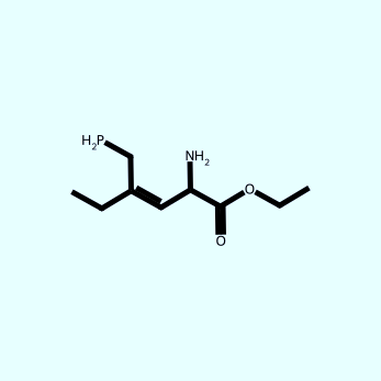 CCOC(=O)C(N)C=C(CC)CP